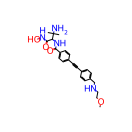 COCCNCc1ccc(C#Cc2ccc(C(=O)NC(C(=O)NO)C(C)(C)N)cc2)cc1